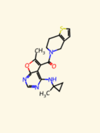 Cc1oc2ncnc(NC3(C)CC3)c2c1C(=O)N1CCc2sccc2C1